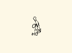 O=c1[nH]c(CCCN2CCC(O)C2)cc2ccccc12